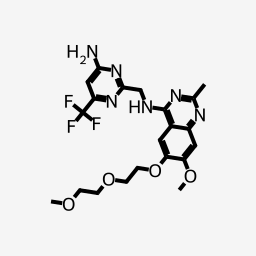 COCCOCCOc1cc2c(NCc3nc(N)cc(C(F)(F)F)n3)nc(C)nc2cc1OC